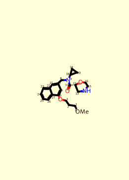 COCCCOc1cc(CN(C(=O)[C@H]2CNCCO2)C2CC2)cc2ccccc12